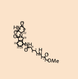 COCC(=O)CNCCCCC(=O)Nc1cccc2c1CN(C1CCC(=O)NC1=O)C2=O